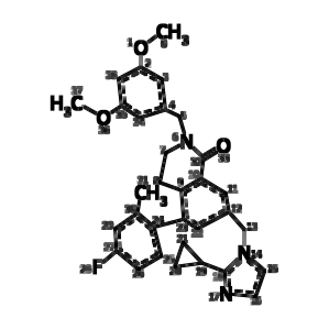 COc1cc(CN2CCc3c(cc(Cn4ccnc4C4CC4)cc3-c3ccc(F)cc3C)C2=O)cc(OC)c1